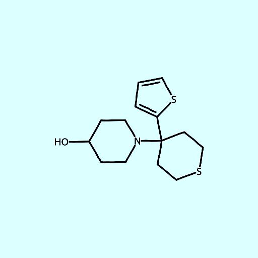 OC1CCN(C2(c3cccs3)CCSCC2)CC1